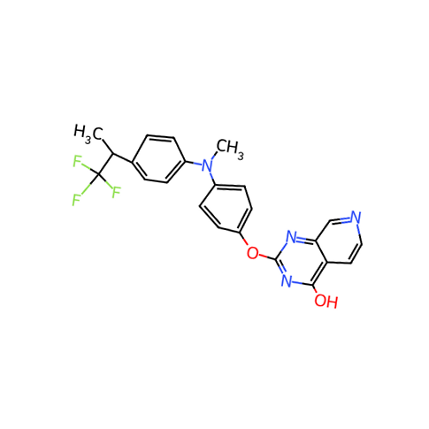 CC(c1ccc(N(C)c2ccc(Oc3nc(O)c4ccncc4n3)cc2)cc1)C(F)(F)F